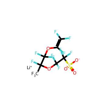 O=S(=O)([O-])C(F)(F)C(F)(F)OC(F)(C(F)(F)F)C(F)(F)OC(F)=C(F)F.[Li+]